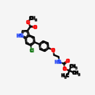 COC(=O)c1c[nH]c2cc(Cl)c(-c3ccc(OCCNC(=O)OC(C)(C)C)cc3)cc12